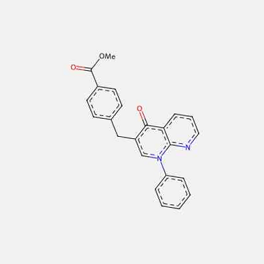 COC(=O)c1ccc(Cc2cn(-c3ccccc3)c3ncccc3c2=O)cc1